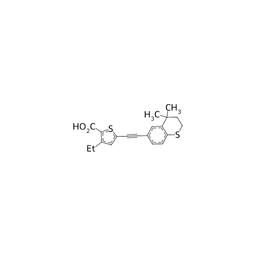 CCc1cc(C#Cc2ccc3c(c2)C(C)(C)CCS3)sc1C(=O)O